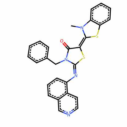 CN1C(=C2SC(=Nc3cccc4cnccc34)N(Cc3ccccc3)C2=O)Sc2ccccc21